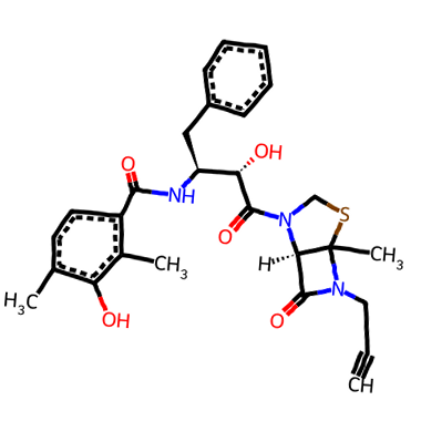 C#CCN1C(=O)[C@H]2N(C(=O)[C@@H](O)[C@H](Cc3ccccc3)NC(=O)c3ccc(C)c(O)c3C)CSC21C